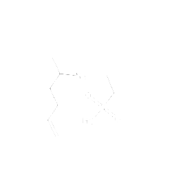 C=CCC[CH](C)[Na].CCS(=O)(=O)O